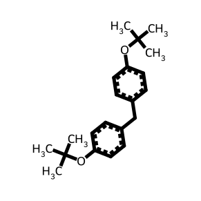 CC(C)(C)Oc1ccc(Cc2ccc(OC(C)(C)C)cc2)cc1